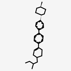 CCC(C)CC1CC=C(c2ccc(-c3ccc([C@H]4CC[C@H](C)CC4)cc3)cc2)CC1